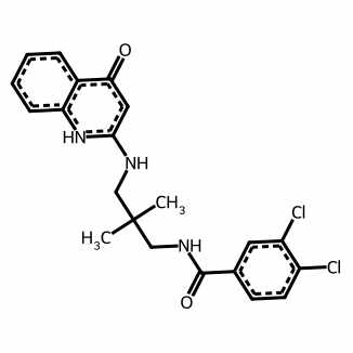 CC(C)(CNC(=O)c1ccc(Cl)c(Cl)c1)CNc1cc(=O)c2ccccc2[nH]1